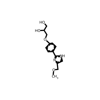 COCc1c[nH]c(-c2ccc(OCC(O)CO)cc2)n1